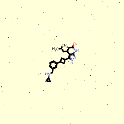 CC(C)CC1CC(=O)Nc2n[nH]c(C3CC(c4cccc(CNC5CC5)c4)C3)c21